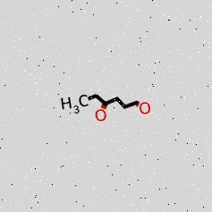 CCC(=O)CCC=O